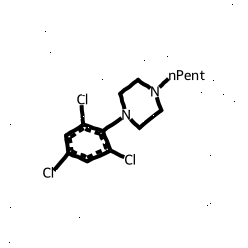 [CH2]CCCCN1CCN(c2c(Cl)cc(Cl)cc2Cl)CC1